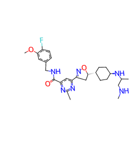 CNCC(C)N[C@H]1CC[C@H](C2CC(c3cc(C(=O)NCc4ccc(F)c(OC)c4)nc(C)n3)=NO2)CC1